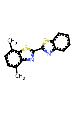 Cc1ccc(C)c2sc(-c3nc4ccccc4s3)nc12